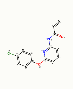 C=CC(=O)Nc1cccc(Oc2ccc(Cl)cc2)n1